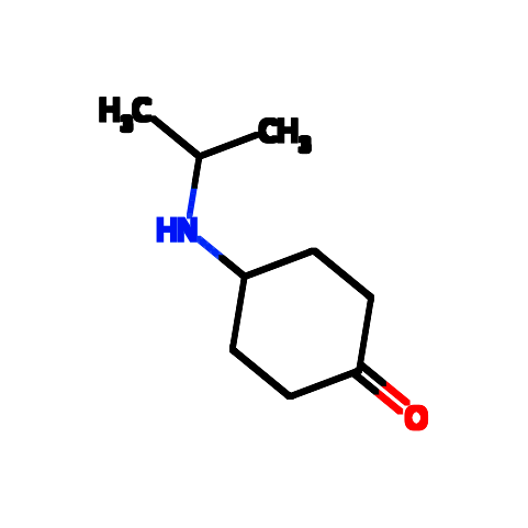 CC(C)NC1CCC(=O)CC1